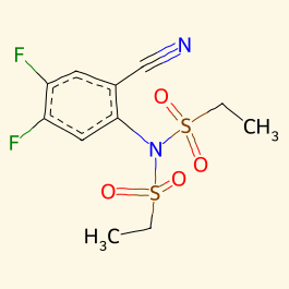 CCS(=O)(=O)N(c1cc(F)c(F)cc1C#N)S(=O)(=O)CC